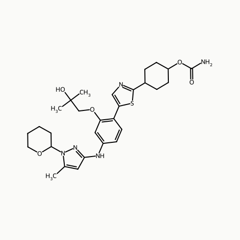 Cc1cc(Nc2ccc(-c3cnc(C4CCC(OC(N)=O)CC4)s3)c(OCC(C)(C)O)c2)nn1C1CCCCO1